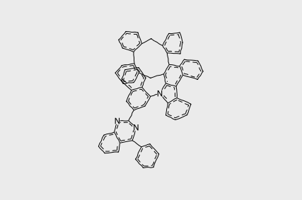 c1ccc(-c2nc(-c3cc(-n4c5ccccc5c5c6ccccc6c6c(c54)Cc4ccccc4-c4ccccc4Cc4ccccc4-6)c4ccccc4c3)nc3ccccc23)cc1